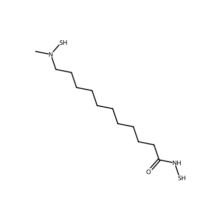 CN(S)CCCCCCCCCCC(=O)NS